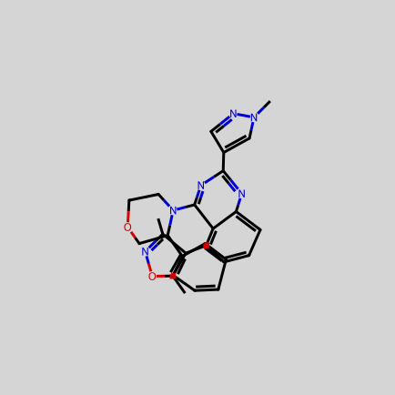 Cc1noc(C)c1-c1cccc2nc(-c3cnn(C)c3)nc(N3CCOCC3c3ccccc3)c12